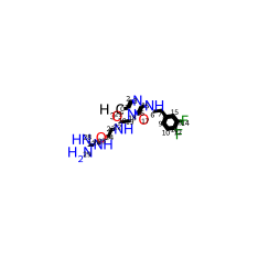 Cc1cnc(NCCc2ccc(F)c(F)c2)c(=O)n1CC(=O)NCCONC(=N)N